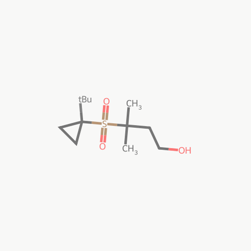 CC(C)(C)C1(S(=O)(=O)C(C)(C)CCO)CC1